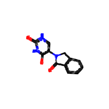 O=C1c2ccccc2CN1c1c[nH]c(=O)[nH]c1=O